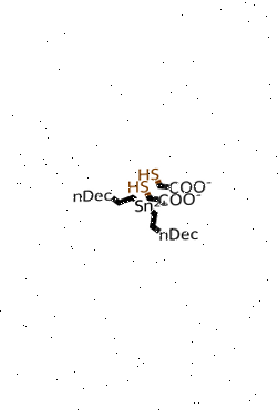 CCCCCCCCCCC[CH2][Sn+2][CH2]CCCCCCCCCCC.O=C([O-])CS.O=C([O-])CS